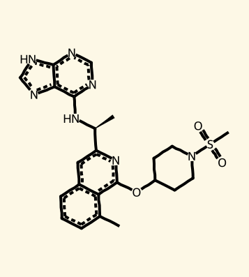 Cc1cccc2cc([C@H](C)Nc3ncnc4[nH]cnc34)nc(OC3CCN(S(C)(=O)=O)CC3)c12